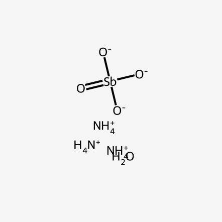 O.[NH4+].[NH4+].[NH4+].[O]=[Sb]([O-])([O-])[O-]